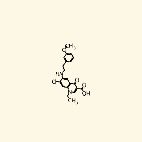 CCn1cc(C(=O)O)c(=O)c2cc(NCCc3cccc(OC)c3)c(Cl)cc21